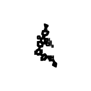 COc1cc(-c2cncc(-c3cc(NCCC4CCC4)cs3)n2)ccc1C(=O)N(C)C1CCN(C2CC2)CC1